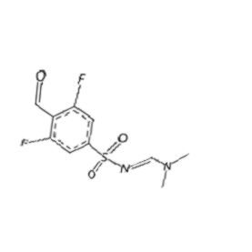 CN(C)C=NS(=O)(=O)c1cc(F)c(C=O)c(F)c1